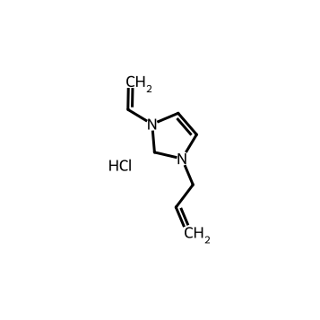 C=CCN1C=CN(C=C)C1.Cl